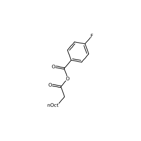 CCCCCCCCCC(=O)OC(=O)c1ccc(F)cc1